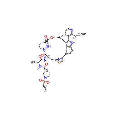 C/C=C/S(=O)(=O)N1CC[C@H](C(=O)N(C)C(C(=O)N[C@H]2Cc3nc(cs3)-c3ccc4c(c3)c(c(-c3cccnc3[C@H](C)OC)n4C)CC(C)(C)COC(=O)[C@@H]3CCCN(N3)C2=O)C(C)C)C1